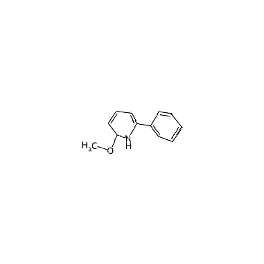 CO[C]1C=CC=C(c2ccccc2)N1